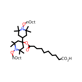 CCCCCCCCON1C(C)(C)CC(C2(OC(=O)CCCCCCCCC(=O)O)CC(C)(C)N(OCCCCCCCC)C(C)(C)C2)CC1(C)C